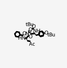 CC(=O)CC[C@H](NC(=O)C1CCCCC1)c1nnc([C@H](Cc2ccc(OC(C)(C)C)cc2)NC(=O)OC(C)(C)C)o1